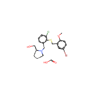 COc1ccc(Br)cc1CSc1c(Cl)cccc1CN1CCCC1CO.O=CO